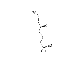 CCCC(=O)CCCC(=O)O